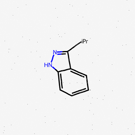 CC(C)c1n[nH]c2cc[c]cc12